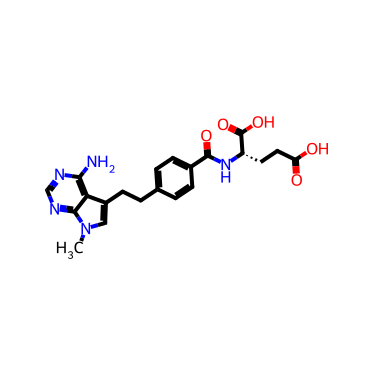 Cn1cc(CCc2ccc(C(=O)N[C@@H](CCC(=O)O)C(=O)O)cc2)c2c(N)ncnc21